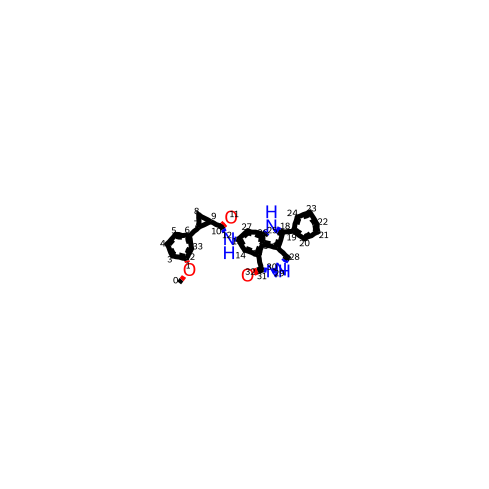 COc1cccc(C2CC2C(=O)Nc2cc3c4c(c(-c5ccccc5)[nH]c4c2)C=NNC3=O)c1